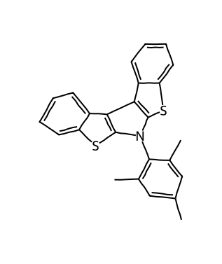 Cc1cc(C)c(-n2c3sc4ccccc4c3c3c4ccccc4sc32)c(C)c1